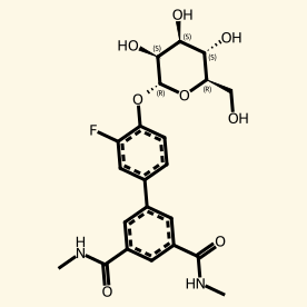 CNC(=O)c1cc(C(=O)NC)cc(-c2ccc(O[C@H]3O[C@H](CO)[C@@H](O)[C@H](O)[C@@H]3O)c(F)c2)c1